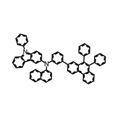 c1ccc(-c2c(-c3ccccc3)c3cc(-c4cccc(N(c5ccc6c(c5)c5ccccc5n6-c5ccccc5)c5cccc6ccccc56)c4)ccc3c3ccccc23)cc1